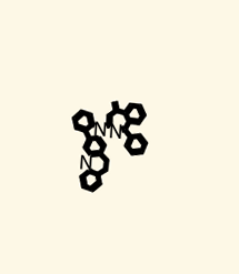 C=C1C=C(n2c3ccccc3c3cc4c(cc32)CCC2C=CC=CC2=N4)N=C(c2ccccc2)c2ccccc21